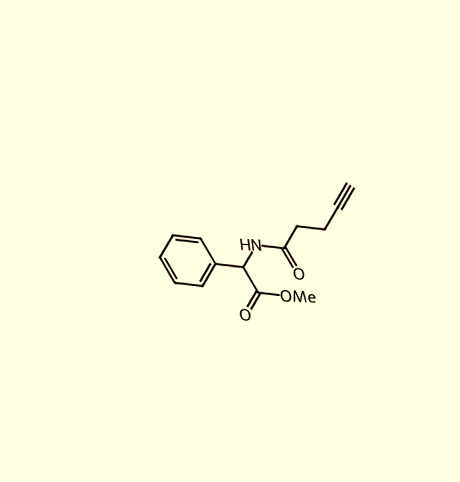 C#CCCC(=O)NC(C(=O)OC)c1ccccc1